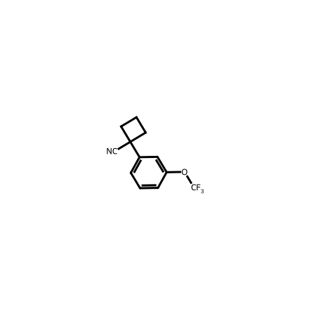 N#CC1(c2cccc(OC(F)(F)F)c2)CCC1